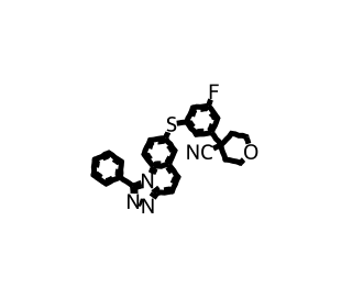 N#CC1(c2cc(F)cc(Sc3ccc4c(ccc5nnc(-c6ccccc6)n54)c3)c2)CCOCC1